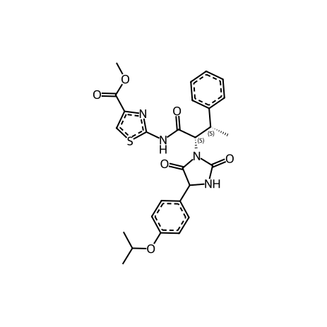 COC(=O)c1csc(NC(=O)[C@H]([C@@H](C)c2ccccc2)N2C(=O)NC(c3ccc(OC(C)C)cc3)C2=O)n1